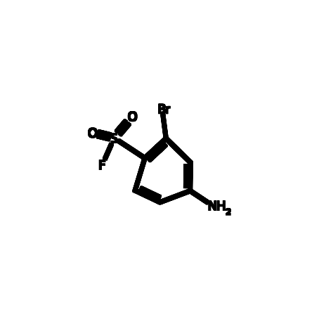 Nc1ccc(S(=O)(=O)F)c(Br)c1